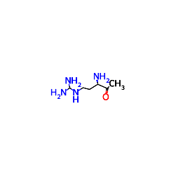 CC(=O)[C@H](N)CCNC(N)N